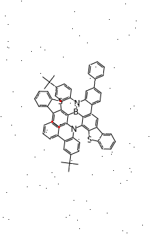 CC(C)(C)c1ccc(N2B3c4c(cc5c(sc6ccccc65)c4N(c4ccc(C(C)(C)C)cc4-c4ccccc4)c4ccc5c(sc6ccccc65)c43)-c3ccc(-c4ccccc4)cc32)cc1